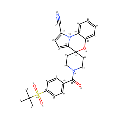 CC(C)(C)S(=O)(=O)c1ccc(C(=O)N2CCC3(CC2)Oc2ccccc2-n2c(C#N)ccc23)cc1